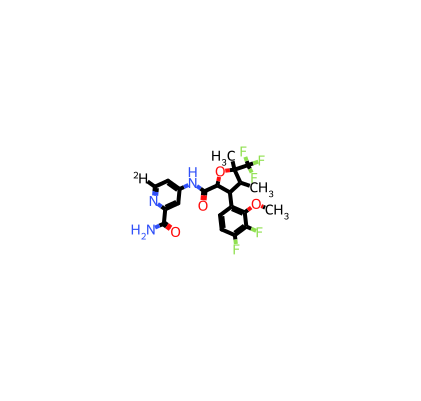 [2H]c1cc(NC(=O)C2OC(C)(C(F)(F)F)C(C)C2c2ccc(F)c(F)c2OC)cc(C(N)=O)n1